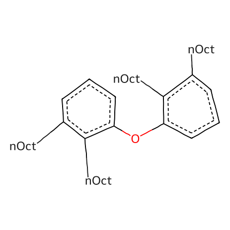 CCCCCCCCc1cccc(Oc2cccc(CCCCCCCC)c2CCCCCCCC)c1CCCCCCCC